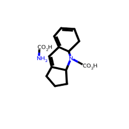 NC(=O)O.O=C(O)N1C2CC=CC=C2C=C2CCCC21